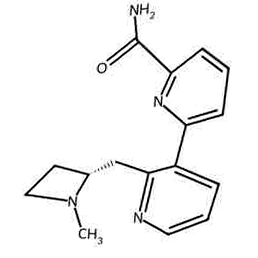 CN1CC[C@@H]1Cc1ncccc1-c1cccc(C(N)=O)n1